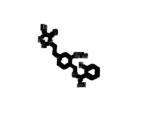 CCn1nnn(CCN2CC[C@H](CON(C(C)=O)c3ccccc3F)[C@H](OC)C2)c1=O